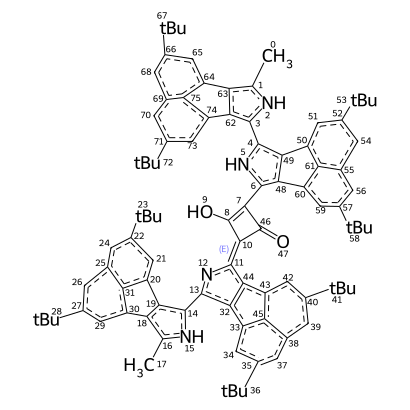 Cc1[nH]c(-c2[nH]c(C3=C(O)/C(=c4\nc(-c5[nH]c(C)c6c5-c5cc(C(C)(C)C)cc7cc(C(C)(C)C)cc-6c57)c5c6cc(C(C)(C)C)cc7cc(C(C)(C)C)cc(c4=5)c76)C3=O)c3c2-c2cc(C(C)(C)C)cc4cc(C(C)(C)C)cc-3c24)c2c1-c1cc(C(C)(C)C)cc3cc(C(C)(C)C)cc-2c13